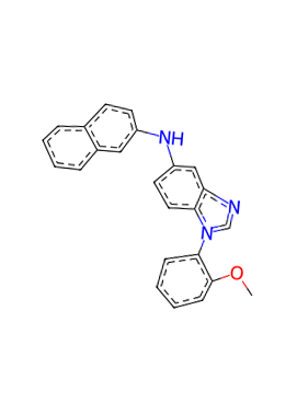 COc1ccccc1-n1cnc2cc(Nc3ccc4ccccc4c3)ccc21